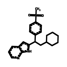 CS(=O)(=O)c1ccc(C(CC2CCCCC2)c2cc3cccnc3[nH]2)cc1